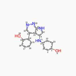 Oc1ccc(Nc2c[nH]c3nncc(-c4ccccc4O)c23)cc1